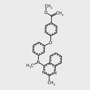 C=C(OC)c1ccc(Oc2cccc(N(C)c3nc(C)nc4ccccc34)c2)cc1